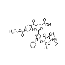 CCOC(=O)N1CCN(C(=O)C(CCC(=O)O)NC(=O)c2cc(O[C@@H](C)C(=O)N(C)C(=O)NC3CC3)n(-c3ccccc3)n2)CC1